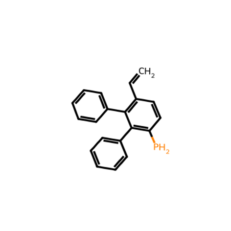 C=Cc1ccc(P)c(-c2ccccc2)c1-c1ccccc1